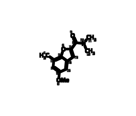 COc1cc(C)c2oc(C(=O)N(C)C)cc2c1